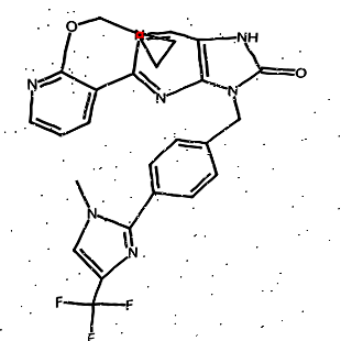 Cn1cc(C(F)(F)F)nc1-c1ccc(Cn2c(=O)[nH]c3cnc(-c4cccnc4OCC4CC4)nc32)cc1